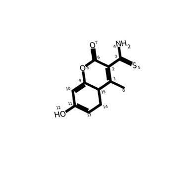 CC1=C(C(N)=S)C(=O)OC2=CC(O)=CCC21